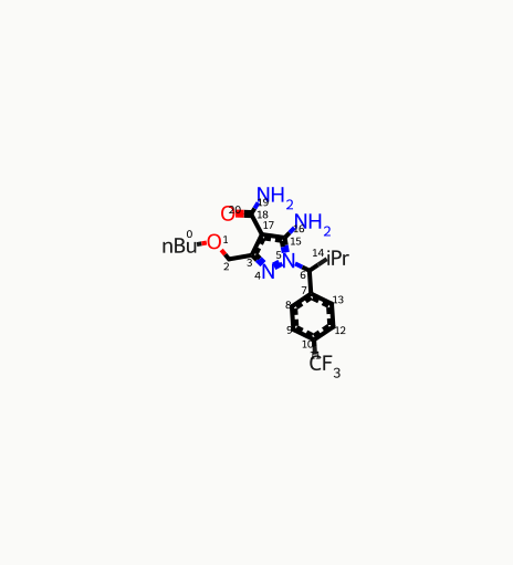 CCCCOCc1nn(C(c2ccc(C(F)(F)F)cc2)C(C)C)c(N)c1C(N)=O